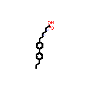 CCCc1ccc(-c2ccc(C/C=C/C=C/C(=O)O)cc2)cc1